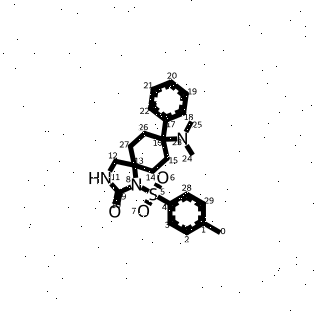 Cc1ccc(S(=O)(=O)N2C(=O)NCC23CCC(c2ccccc2)(N(C)C)CC3)cc1